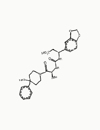 CCCC[C@H](NC(=O)N[C@@H](CC(=O)O)c1ccc2c(c1)OCO2)C(=O)N1CCC(O)(c2ccccc2)CC1